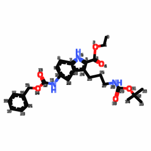 CCOC(=O)c1[nH]c2ccc(NC(=O)OCc3ccccc3)cc2c1CCCNC(=O)OC(C)(C)C